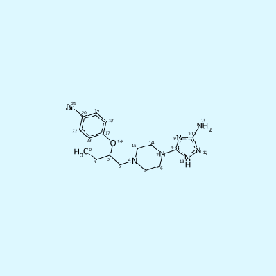 CCC(CN1CCN(c2nc(N)n[nH]2)CC1)Oc1ccc(Br)cc1